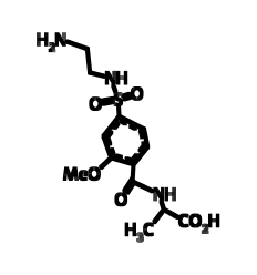 COc1cc(S(=O)(=O)NCCN)ccc1C(=O)NC(C)C(=O)O